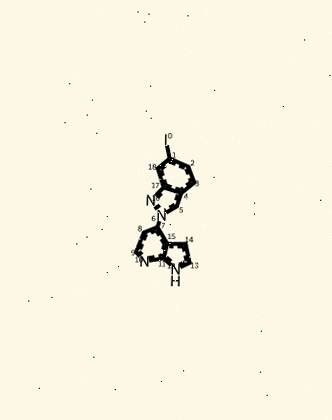 Ic1ccc2cn(-c3ccnc4[nH]ccc34)nc2c1